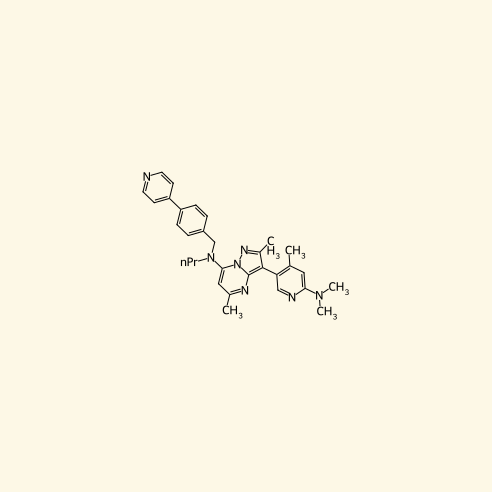 CCCN(Cc1ccc(-c2ccncc2)cc1)c1cc(C)nc2c(-c3cnc(N(C)C)cc3C)c(C)nn12